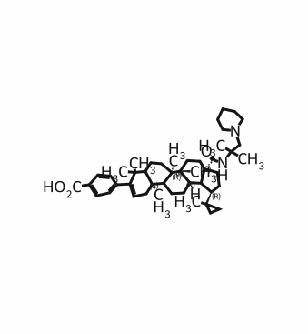 CC(C)(CN1CCCCC1)NC(=O)[C@]12CC[C@@H](C3(C)CC3)C1[C@H]1CCC3[C@@]4(C)CC=C(c5ccc(C(=O)O)cc5)C(C)(C)C4CC[C@@]3(C)[C@]1(C)CC2